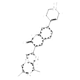 Cc1cn2cc(-c3cc4ccc(C5=CCNCC5)cc4oc3=O)nc2c(C)n1